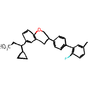 Cc1ccc(F)c(-c2ccc(C3COc4ccc(C(CC(=O)O)C5CC5)cc4C3)cc2)c1